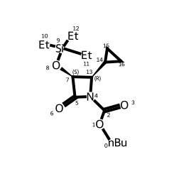 CCCCOC(=O)N1C(=O)[C@@H](O[Si](CC)(CC)CC)[C@H]1C1CC1